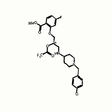 COC(=O)c1ccc(F)cc1OC[C@@H](CNC1CCN(Cc2ccc(Cl)cc2)CC1)OC(=O)C(F)(F)F